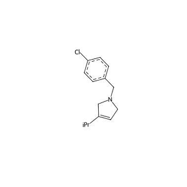 CC(C)C1=CCN(Cc2ccc(Cl)cc2)C1